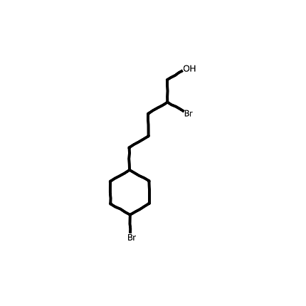 OCC(Br)CCCC1CCC(Br)CC1